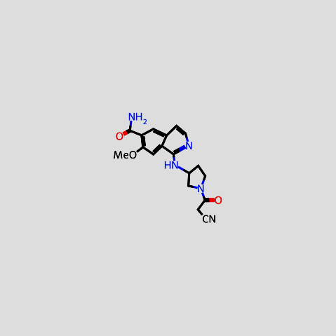 COc1cc2c(NC3CCN(C(=O)CC#N)C3)nccc2cc1C(N)=O